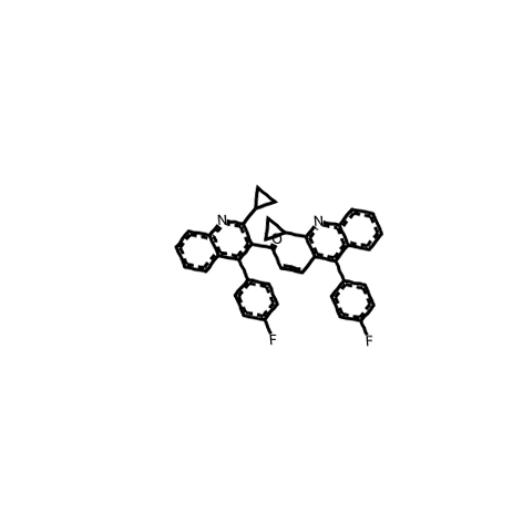 O=C(C=Cc1c(C2CC2)nc2ccccc2c1-c1ccc(F)cc1)c1c(C2CC2)nc2ccccc2c1-c1ccc(F)cc1